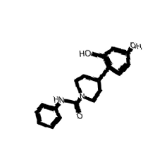 O=C(Nc1ccccc1)N1CCC(c2ccc(O)cc2O)CC1